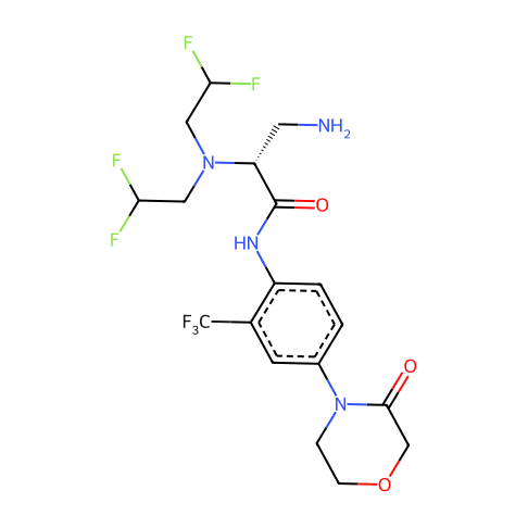 NC[C@H](C(=O)Nc1ccc(N2CCOCC2=O)cc1C(F)(F)F)N(CC(F)F)CC(F)F